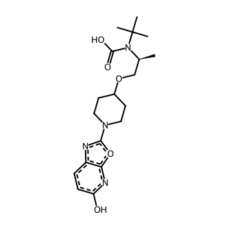 C[C@@H](COC1CCN(c2nc3ccc(O)nc3o2)CC1)N(C(=O)O)C(C)(C)C